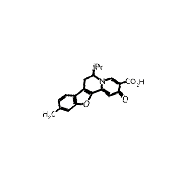 Cc1ccc2c3c(oc2c1)-c1cc(=O)c(C(=O)O)cn1C(C(C)C)C3